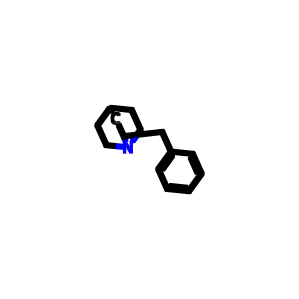 c1ccc(CC2CC3CCN2CC3)cc1